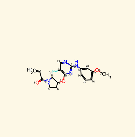 C=CC(=O)N1CCC(Oc2nc(Nc3cccc(OC)c3)ncc2F)C1